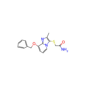 Cc1nc2c(OCc3ccccc3)cccn2c1SCC(N)=O